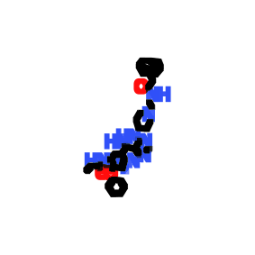 C=CC(=O)Nc1cc(C(=N)c2c(N)ncnc2NC2CCN(CCNC(=O)CC34CC5CC(CC(C5)C3)C4)CC2)ccc1Oc1ccccc1